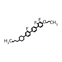 C=CCCC1CCC(c2ccc(-c3ccc(-c4ccc(OCCC)c(F)c4F)cc3)c(F)c2)CC1